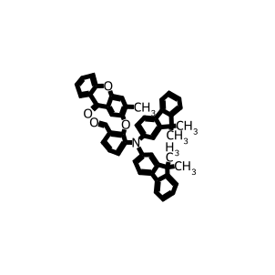 Cc1cc2oc3ccccc3c(=O)c2cc1Oc1c(C=O)cccc1N(c1ccc2c(c1)C(C)(C)c1ccccc1-2)c1ccc2c(c1)C(C)(C)c1ccccc1-2